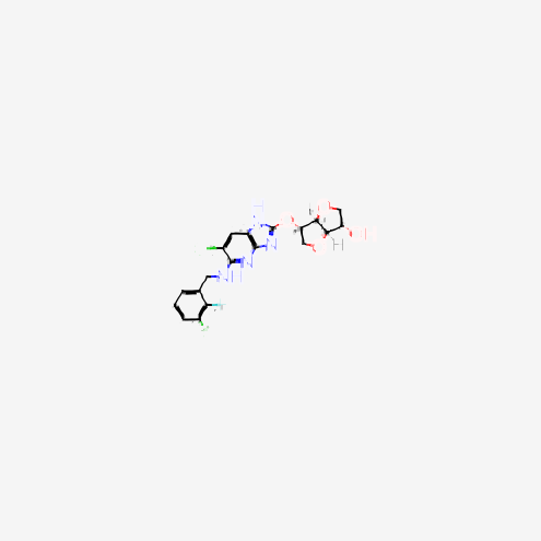 O[C@@H]1CO[C@H]2[C@@H]1OC[C@H]2Oc1nc2nc(NCc3cccc(Cl)c3F)c(Cl)cc2[nH]1